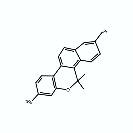 CC(C)c1ccc2c3c(ccc2c1)-c1ccc(C(C)(C)C)cc1OC3(C)C